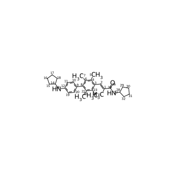 C/C(=C\c1c(C)c(C)c(-c2ccc(NC3CCCC3)cc2)c(C)c1C)C(=O)NC1CCCC1